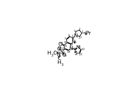 CC(C)[C@@H]1CCN(c2ccc3c(=O)c(S(=O)(=O)N(C)C)cn(-c4nccs4)c3n2)C1